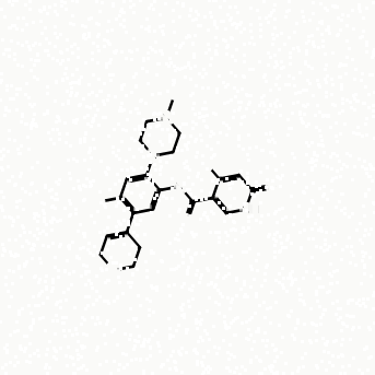 CN1CCN(c2cc(F)c(C3=CCOCC3)cc2NC(=O)c2c[nH]c(=O)cc2C(F)(F)F)CC1